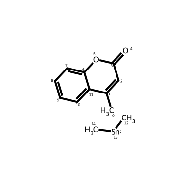 Cc1cc(=O)oc2ccccc12.[CH3][Sn][CH3]